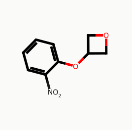 O=[N+]([O-])c1ccccc1OC1COC1